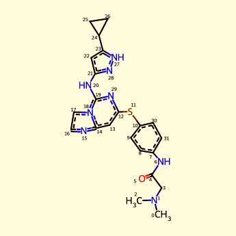 CN(C)CC(=O)Nc1ccc(Sc2cc3nccn3c(Nc3cc(C4CC4)[nH]n3)n2)cc1